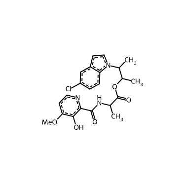 COc1ccnc(C(=O)NC(C)C(=O)OC(C)C(C)n2ccc3cc(Cl)ccc32)c1O